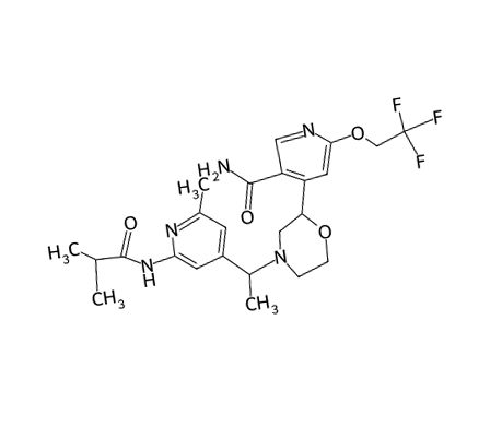 Cc1cc(C(C)N2CCOC(c3cc(OCC(F)(F)F)ncc3C(N)=O)C2)cc(NC(=O)C(C)C)n1